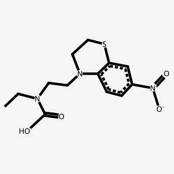 CCN(CCN1CCSc2cc([N+](=O)[O-])ccc21)C(=O)O